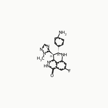 Cn1ncnc1[C@@H]1c2n[nH]c(=O)c3cc(F)cc(c23)N[C@H]1c1ccc(N)cc1